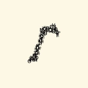 N#Cc1c(NS(=O)(=O)N2CC[C@@H](F)C2)ccc(F)c1Oc1ccc2ncn(-c3ccc(N4CCN(CCN5CCN(c6ccc7c(c6)CN(C6CCC(=O)NC6=O)C7=O)CC5)CC4)cc3)c(=O)c2c1